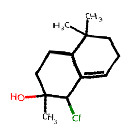 CC1(C)CCC=C2C1CCC(C)(O)C2Cl